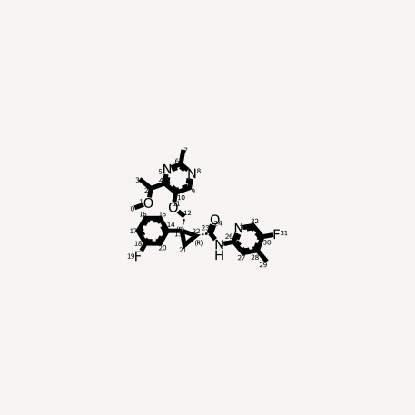 COC(C)c1nc(C)ncc1OC[C@@]1(c2cccc(F)c2)C[C@H]1C(=O)Nc1cc(C)c(F)cn1